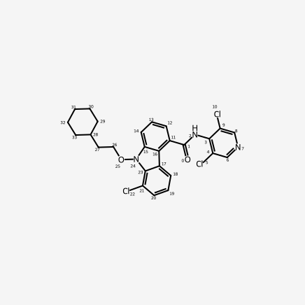 O=C(Nc1c(Cl)cncc1Cl)c1cccc2c1c1cccc(Cl)c1n2OCCC1CCCCC1